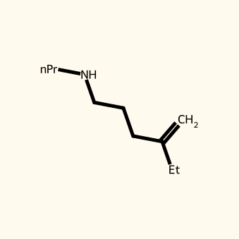 C=C(CC)CCCNCCC